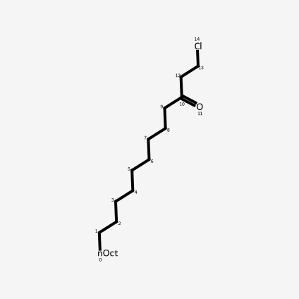 CCCCCCCCCCCCCCCCCC(=O)CCCl